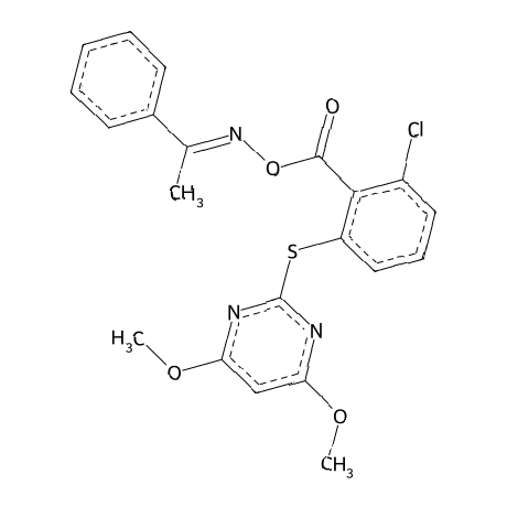 COc1cc(OC)nc(Sc2cccc(Cl)c2C(=O)O/N=C(\C)c2ccccc2)n1